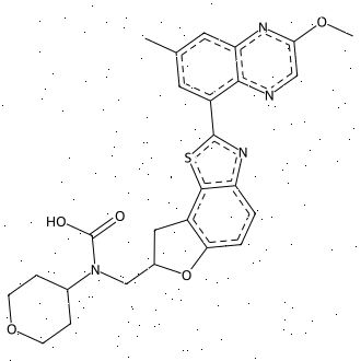 COc1cnc2c(-c3nc4ccc5c(c4s3)CC(CN(C(=O)O)C3CCOCC3)O5)cc(C)cc2n1